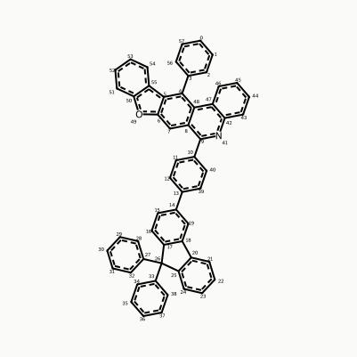 c1ccc(-c2c3c(cc4c(-c5ccc(-c6ccc7c(c6)-c6ccccc6C7(c6ccccc6)c6ccccc6)cc5)nc5ccccc5c24)oc2ccccc23)cc1